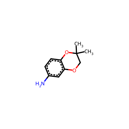 CC1(C)COc2cc(N)ccc2O1